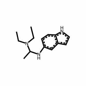 CCN(CC)C(C)Nc1ccc2[nH]ccc2c1